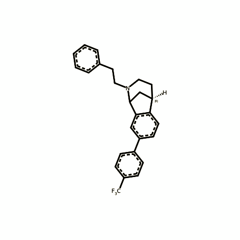 FC(F)(F)c1ccc(-c2ccc3c(c2)C2C[C@H]3CCN2CCc2ccccc2)cc1